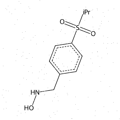 CC(C)S(=O)(=O)c1ccc(CNO)cc1